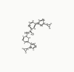 O=C(NC1C=CC=C(c2nncn2C2CC2)C1)c1cc(-n2cnc(C3CC3)n2)ccn1